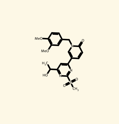 COc1ccc(Cn2cc(-c3cc(C(C)O)nc(S(C)(=O)=O)n3)ccc2=O)cc1OC